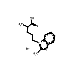 Cc1sc2ccccc2[n+]1CCCC(C)C(=O)O.[Br-]